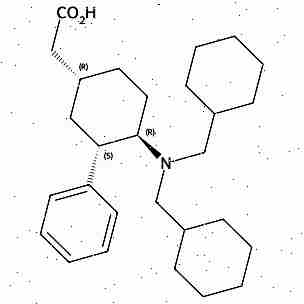 O=C(O)C[C@@H]1CC[C@@H](N(CC2CCCCC2)CC2CCCCC2)[C@H](c2ccccc2)C1